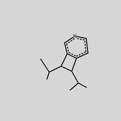 CC(C)C1c2ccncc2C1C(C)C